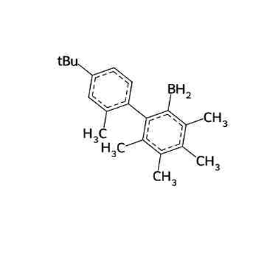 Bc1c(C)c(C)c(C)c(C)c1-c1ccc(C(C)(C)C)cc1C